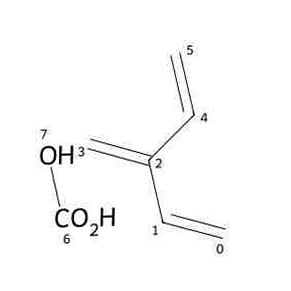 C=CC(=C)C=C.O=C(O)O